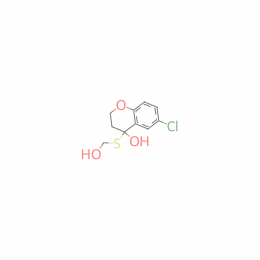 OCSC1(O)CCOc2ccc(Cl)cc21